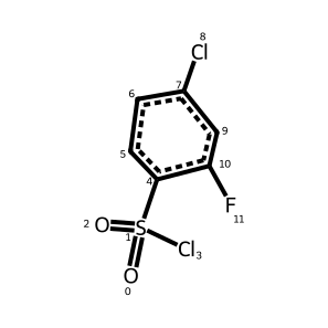 O=S(=O)(Cl)c1ccc(Cl)cc1F